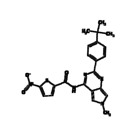 Cn1cc2nc(-c3ccc(C(C)(C)C)cc3)nc(NC(=O)c3ccc([N+](=O)[O-])s3)c2c1